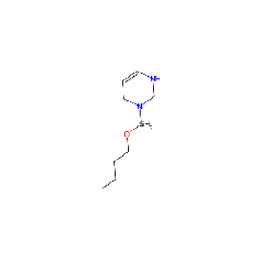 CCCCO[SiH2]N1CC=CNC1